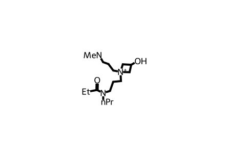 CCCN(CCC[N+]1(CCCNC)CC(O)C1)C(=O)CC